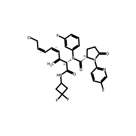 C=C(/C=C\C=C/CCl)[C@@H](C(=O)NC1CC(F)(F)C1)N(C(=O)[C@@H]1CCC(=O)N1c1ccc(F)cn1)c1cccc(F)c1